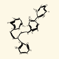 C(=C/C(CCc1ccc(-c2ccccn2)nc1)c1ccccc1)/c1ccccc1